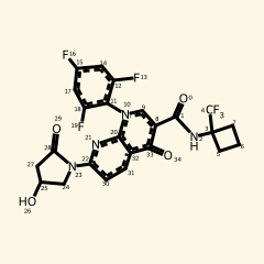 O=C(NC1(C(F)(F)F)CCC1)c1cn(-c2c(F)cc(F)cc2F)c2nc(N3CC(O)CC3=O)ccc2c1=O